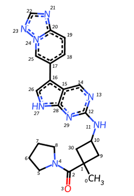 CC1(C(=O)N2CCCC2)CC(Nc2ncc3c(-c4ccc5ncnn5c4)c[nH]c3n2)C1